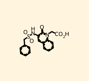 O=C(O)Cn1c(=O)c(NS(=O)(=O)Cc2ccccc2)cc2ccccc21